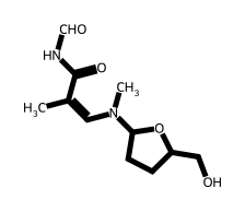 C/C(=C/N(C)C1CCC(CO)O1)C(=O)NC=O